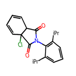 CC(C)c1cccc(C(C)C)c1N1C(=O)C2C=CC=CC2(Cl)C1=O